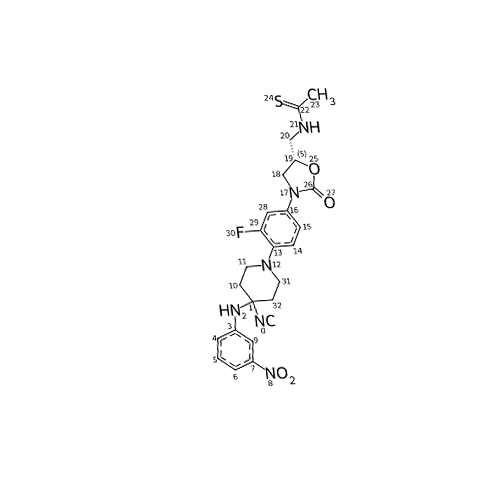 [C-]#[N+]C1(Nc2cccc([N+](=O)[O-])c2)CCN(c2ccc(N3C[C@H](CNC(C)=S)OC3=O)cc2F)CC1